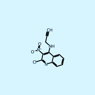 C#CCNc1c([N+](=O)[O-])c(Cl)nc2ccccc12